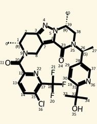 C[C@@H]1Cc2nn3c(c2CN1C(=O)c1ccc(Cl)c(C(F)(F)F)n1)C(=O)N([C@@H](C)c1ccc(C(C)(C)O)nc1)C[C@H]3C